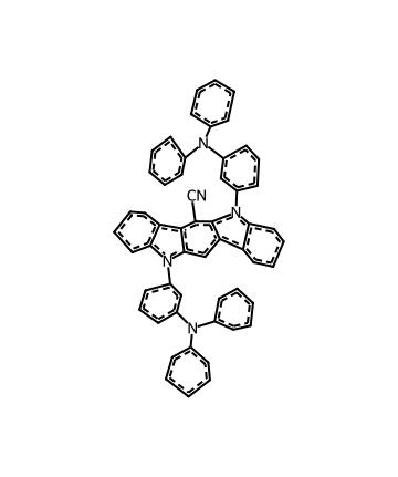 N#Cc1c2c3ccccc3n(-c3cccc(N(c4ccccc4)c4ccccc4)c3)c2cc2c3ccccc3n(-c3cccc(N(c4ccccc4)c4ccccc4)c3)c12